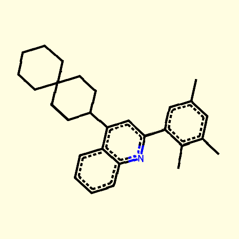 Cc1cc(C)c(C)c(-c2cc(C3CCC4(CCCCC4)CC3)c3ccccc3n2)c1